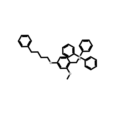 COc1cc(OCCCCc2ccccc2)ccc1C[PH](c1ccccc1)(c1ccccc1)c1ccccc1